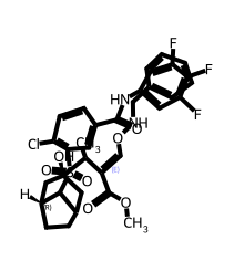 COC(=O)/C(=C/ONCc1ccccc1)C(C)[C@]1(O)CC2CC[C@H](C1)C2S(=O)(=O)c1cc(C(=O)Nc2cc(F)c(F)c(F)c2)ccc1Cl